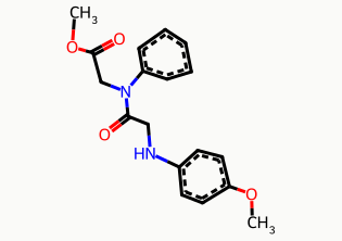 COC(=O)CN(C(=O)CNc1ccc(OC)cc1)c1ccccc1